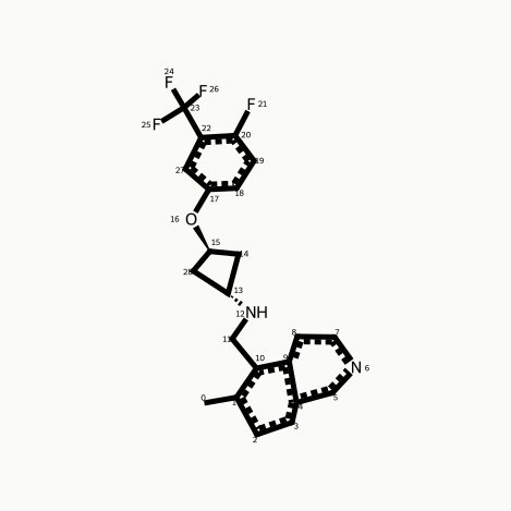 Cc1ccc2cnccc2c1CN[C@H]1C[C@H](Oc2ccc(F)c(C(F)(F)F)c2)C1